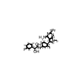 Cc1cc(NC(=O)[C@H](O)c2cccc(F)c2)ccc1-c1cn(C)c2nc(C(C)C)nc(N)c12